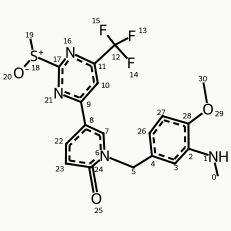 CNc1cc(Cn2cc(-c3cc(C(F)(F)F)nc([S+](C)[O-])n3)ccc2=O)ccc1OC